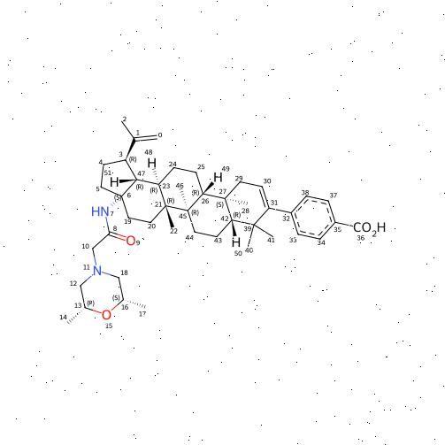 C=C(C)[C@@H]1CC[C@]2(NC(=O)CN3C[C@@H](C)O[C@@H](C)C3)CC[C@]3(C)[C@H](CC[C@@H]4[C@@]5(C)CC=C(c6ccc(C(=O)O)cc6)C(C)(C)[C@@H]5CC[C@]43C)[C@@H]12